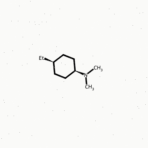 CC[C@H]1CC[C@@H](N(C)C)CC1